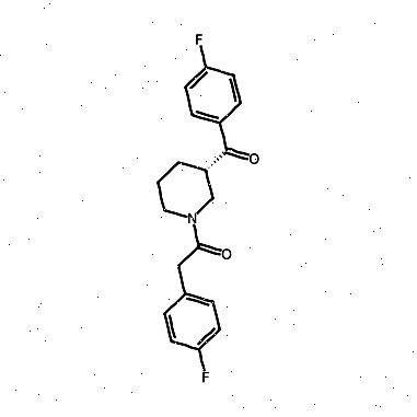 O=C(c1ccc(F)cc1)[C@H]1CCCN(C(=O)Cc2ccc(F)cc2)C1